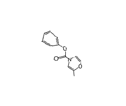 CC1=CN(C(=O)Oc2ccccc2)C=CO1